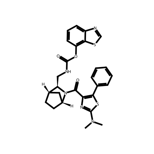 CN(C)c1nc(C(=O)N2[C@@H]3CC[C@@H](C3)[C@H]2CNC(=O)Oc2cccc3ncsc23)c(-c2ccccc2)s1